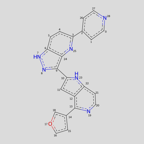 c1cc(-c2ccc3[nH]nc(-c4cc5c(-c6ccoc6)nccc5[nH]4)c3n2)ccn1